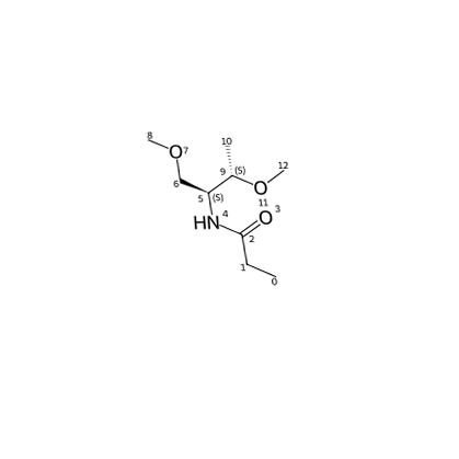 CCC(=O)N[C@@H](COC)[C@H](C)OC